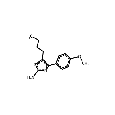 CCCCc1sc(N)nc1-c1ccc(OC)cc1